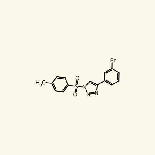 Cc1ccc(S(=O)(=O)n2cc(-c3cccc(Br)c3)nn2)cc1